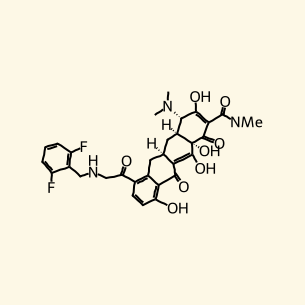 CNC(=O)C1=C(O)[C@@H](N(C)C)[C@@H]2C[C@@H]3Cc4c(C(=O)CNCc5c(F)cccc5F)ccc(O)c4C(=O)C3=C(O)[C@]2(O)C1=O